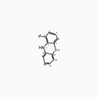 Fc1cccc2c1Nc1ccccc1S2